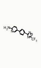 Nc1ccc(-c2ccc(-c3noc(C(F)(F)F)n3)cc2)cn1